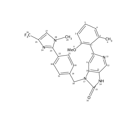 COc1cccc(C)c1-c1cc2c(cn1)[nH]c(=O)n2Cc1ccc(-c2nc(C(F)(F)F)cn2C)cc1